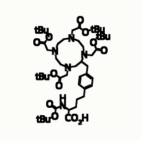 CC(C)(C)OC(=O)CN1CCN(CC(=O)OC(C)(C)C)CCN(CC(=O)OC(C)(C)C)C(Cc2ccc(CCCC(NC(=O)OC(C)(C)C)C(=O)O)cc2)CN(CC(=O)OC(C)(C)C)CC1